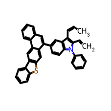 C=Cc1c(/C=C\C)c2cc(-c3cc4ccccc4c4cc5c(cc34)sc3ccccc35)ccc2n1-c1ccccc1